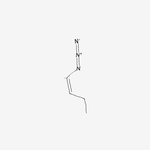 CC/C=[C]\N=[N+]=[N-]